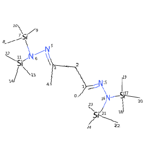 C/C(C/C(C)=N/N([Si](C)(C)C)[Si](C)(C)C)=N\N([Si](C)(C)C)[Si](C)(C)C